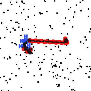 O=C(CCOCCOCCOCCOCCOCCOCCOCCOCCOCCOCCOCCOCCN1C=C(c2ccc3[nH]c(C(=O)N4CCC5(CC4)NC(=O)N(c4ccccc4)C5=O)cc3c2)NN1)ON1C(=O)CCC1=O